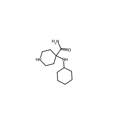 NC(=O)C1(NC2CCCCC2)CCNCC1